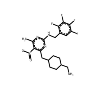 NCC1CCC(Cc2nc(NCc3cc(F)c(F)c(F)c3F)nc(N)c2[N+](=O)[O-])CC1